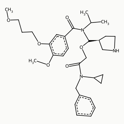 COCCCOc1cc(C(=O)N(C(C)C)C(OCC(=O)N(Cc2ccccc2)C2CC2)[C@H]2CCNC2)ccc1OC